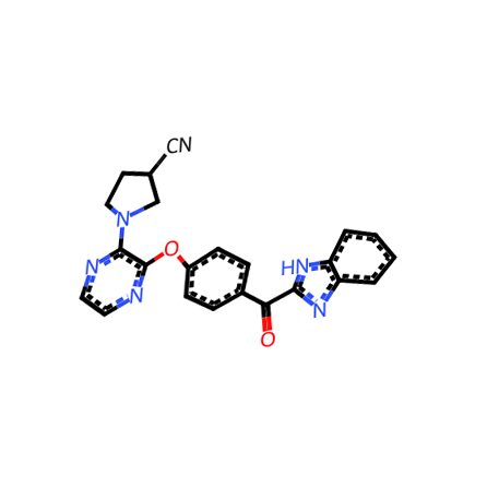 N#CC1CCN(c2nccnc2Oc2ccc(C(=O)c3nc4ccccc4[nH]3)cc2)C1